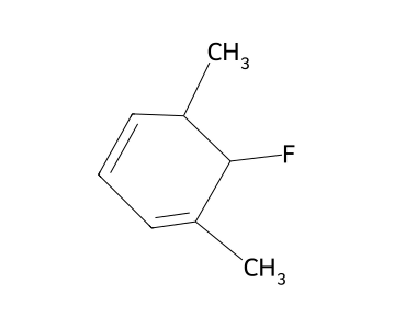 CC1=CC=CC(C)C1F